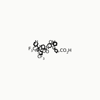 CCC[C@H]1N(C(=O)c2cnccc2C(F)(F)F)CCC[C@@]1(Oc1csc(C(F)(F)F)c1)C(=O)N1CCC(O)(c2ccccc2O[C@@H]2CC[C@@H](CC(=O)O)C2)CC1